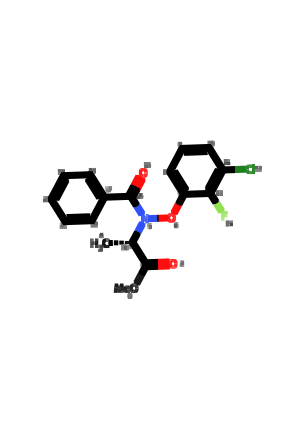 COC(=O)[C@H](C)N(Oc1cccc(Cl)c1F)C(=O)c1ccccc1